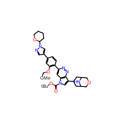 COCOc1cc(-c2cnn(C3CCCCO3)c2)ccc1-c1cc2c(nn1)c(C1CC3COCC(C1)N3)cn2C(=O)OC(C)(C)C